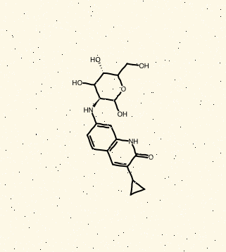 O=c1[nH]c2cc(N[C@@H]3C(O)OC(CO)[C@@H](O)C3O)ccc2cc1C1CC1